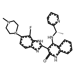 C[C@H](Nc1c(-c2nc3ccc(N4CCN(C)CC4)c(F)c3[nH]2)c(=O)[nH]c2ccccc12)c1ccccn1